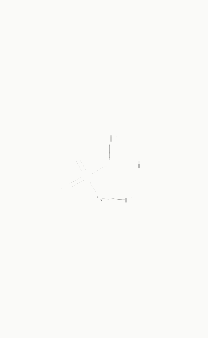 CC(C)NS(=O)(=O)OC(C)C.[LiH]